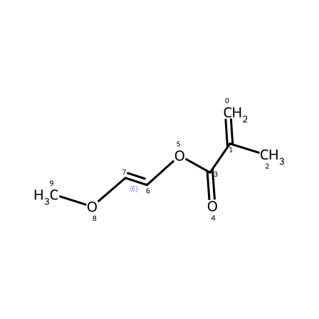 C=C(C)C(=O)O/C=C/OC